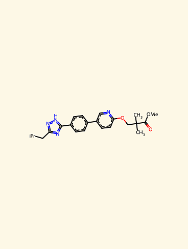 COC(=O)C(C)(C)COc1ccc(-c2ccc(-c3nc(CC(C)C)n[nH]3)cc2)cn1